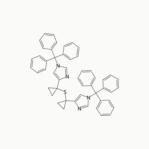 c1ccc(C(c2ccccc2)(c2ccccc2)n2cnc(C3(SC4(c5cn(C(c6ccccc6)(c6ccccc6)c6ccccc6)cn5)CC4)CC3)c2)cc1